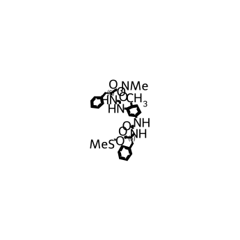 CNOC(=O)[C@H](Cc1ccccc1)NC(=O)Nc1cc(NC(=O)N[C@@H](Cc2ccccc2)C(=O)OCSC)ccc1C